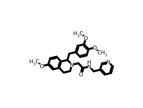 COc1ccc2c(c1)CCN(CC(=O)NCc1cccnc1)C2Cc1ccc(OC)c(OC)c1